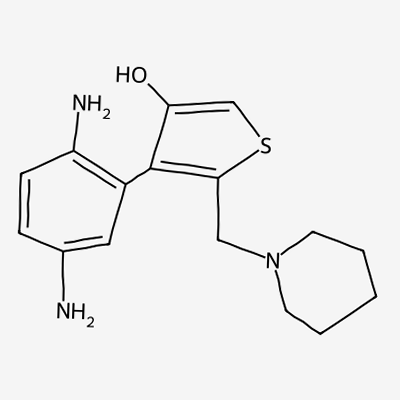 Nc1ccc(N)c(-c2c(O)csc2CN2CCCCC2)c1